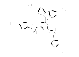 COc1ccc2c(c1)c1cc(OC)ccc1n2C1=CC(c2nnc(-c3ccc(C(C)(C)C)cc3)o2)=CC(c2nnc(-c3ccc(C(C)(C)C)cc3)o2)C1